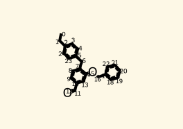 CCc1ccc(Cc2ccc(C=O)cc2OCc2ccccc2)cc1